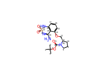 CC(C)(C)OC(=O)N1CCC[C@@H]1COc1cccc2c1C(N)=NS(=O)(=O)N2